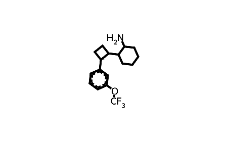 NC1CCCCC1C1CC[C]1c1cccc(OC(F)(F)F)c1